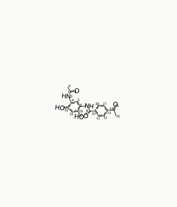 CC(=O)Nc1cc(NC(=O)c2ccc(C(C)=O)cc2)c(O)cc1O